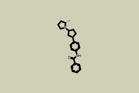 C[C@H]1CCCN1C1CCC(c2ccc(NC(=O)c3ccccc3)cc2)C1